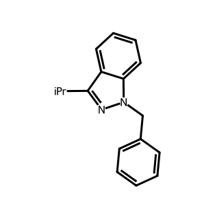 CC(C)c1nn(Cc2ccccc2)c2ccccc12